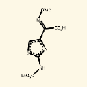 CCOC(=O)Nc1nc(C(=NOC)C(=O)O)cs1